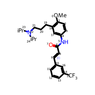 COc1ccc(NC(=O)/C=C/c2cccc(C(F)(F)F)c2)cc1CCCN(C(C)C)C(C)C